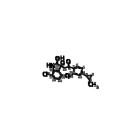 CC1CC1c1ccc(C(=O)CC2(O)C(=O)Nc3c(Cl)ccc(Cl)c32)c(F)c1